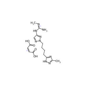 C/N=C(/N)Nc1cnn(CCCCc2nc(C)n[nH]2)n1.O=C(O)/C=C\C(=O)O